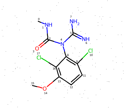 CNC(=O)N(C(=N)N)c1c(Cl)ccc(OC)c1Cl